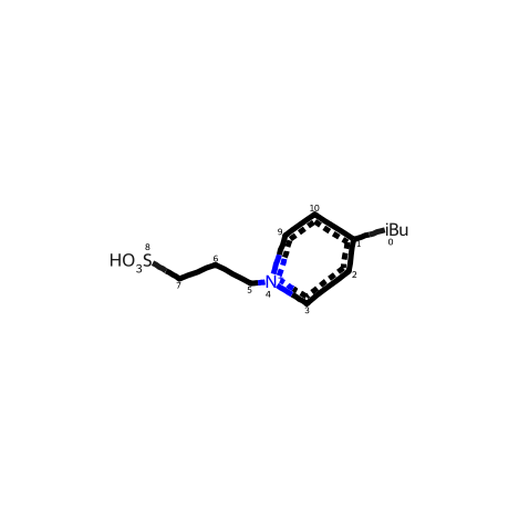 CCC(C)c1cc[n+](CCCS(=O)(=O)O)cc1